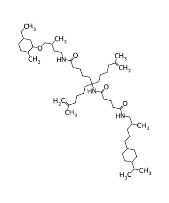 C=C(C)CCCCC(CCCCC(=C)C)(CCCCC(=O)NCCC(C)COC1CC(CC)CCC1C)NC(=O)CCCC(=O)NCC(C)CCCC1CCC(C(C)C)CC1